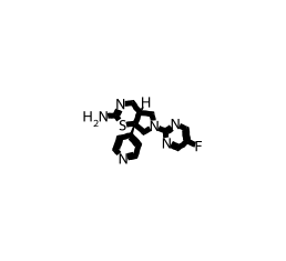 NC1=NC[C@H]2CN(c3ncc(F)cn3)C[C@]2(c2ccncc2)S1